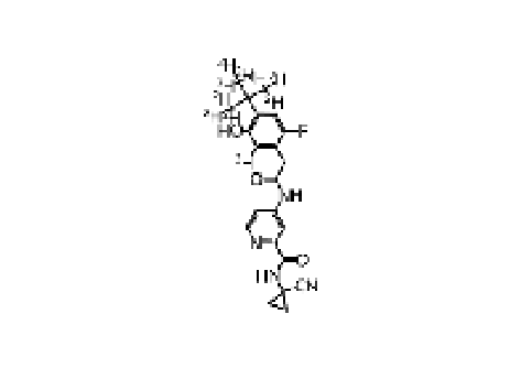 [2H]c1c(O)c(C(C([2H])([2H])[2H])(C([2H])([2H])[2H])C([2H])([2H])[2H])cc(F)c1CC(=O)Nc1ccnc(C(=O)NC2(C#N)CC2)c1